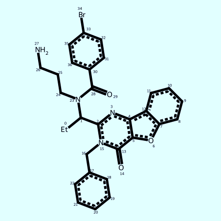 CCC(c1nc2c(oc3ccccc32)c(=O)n1Cc1ccccc1)N(CCCN)C(=O)c1ccc(Br)cc1